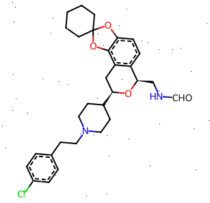 O=CNC[C@H]1O[C@@H](C2CCN(CCc3ccc(Cl)cc3)CC2)Cc2c1ccc1c2OC2(CCCCC2)O1